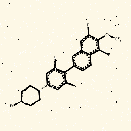 CC[C@H]1CC[C@H](c2cc(F)c(-c3ccc4c(F)c(OC(F)(F)F)c(F)cc4c3)c(F)c2)CC1